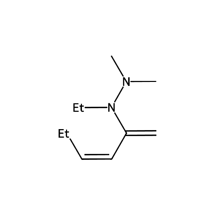 C=C(/C=C\CC)N(CC)N(C)C